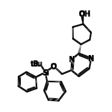 CC(C)(C)[Si](OCc1ccnc([C@H]2CC[C@H](O)CC2)n1)(c1ccccc1)c1ccccc1